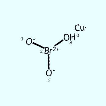 [Cu].[O-][Br+2]([O-])O